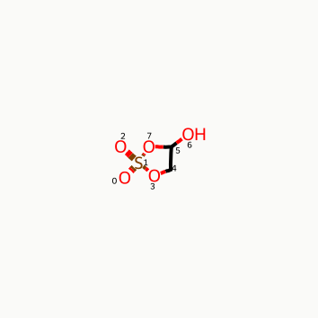 O=S1(=O)OCC(O)O1